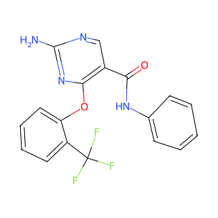 Nc1ncc(C(=O)Nc2ccccc2)c(Oc2ccccc2C(F)(F)F)n1